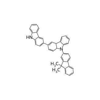 CC1(C)c2ccccc2-c2ccc(N3c4ccccc4C4C=C(c5ccc6[nH]c7ccccc7c6c5)C=CC43)cc21